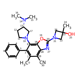 Cc1c(-c2ccccc2)c(N2CC[C@H](N(C)C)C2)c2oc(N3CC(C)(O)C3)nc2c1C#N